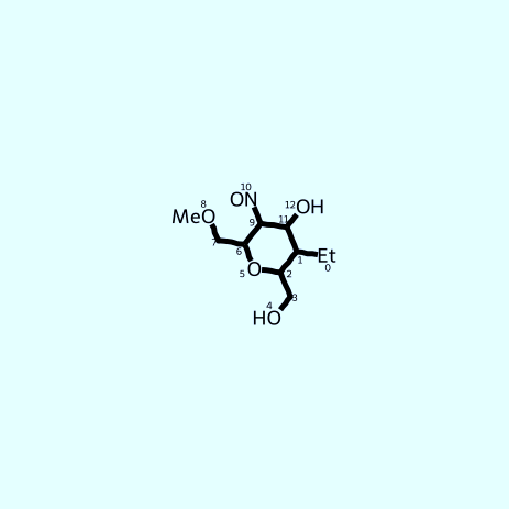 CCC1C(CO)OC(COC)C(N=O)C1O